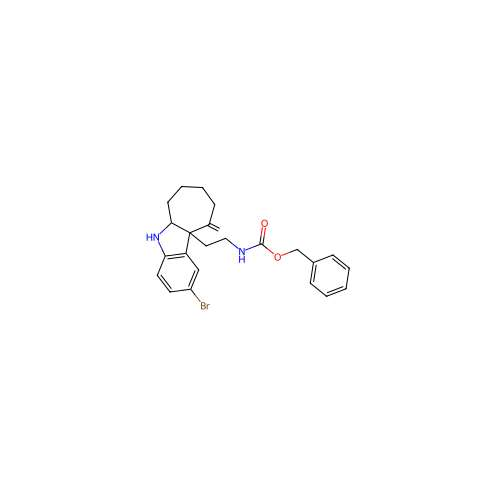 C=C1CCCCC2Nc3ccc(Br)cc3C12CCNC(=O)OCc1ccccc1